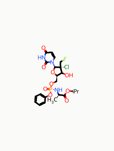 CC(C)OC(=O)[C@H](C)N[P@](=O)(OC[C@H]1O[C@@H](n2ccc(=O)[nH]c2=O)[C@@](Cl)(CF)C1O)Oc1ccccc1